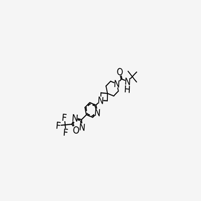 CC(C)(C)NC(=O)N1CCC2(CC1)CN(c1ccc(-c3noc(C(F)(F)F)n3)cn1)C2